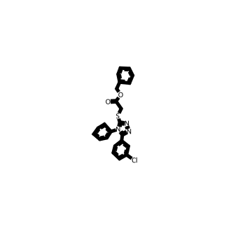 O=C(CSc1nnc(-c2cccc(Cl)c2)n1-c1ccccc1)OCc1ccccc1